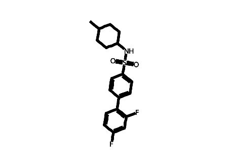 CC1CCC(NS(=O)(=O)c2ccc(-c3ccc(F)cc3F)cc2)CC1